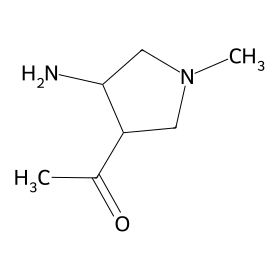 CC(=O)C1CN(C)CC1N